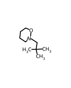 CC(C)(C)[CH2][Al]1[CH2]CCC[O]1